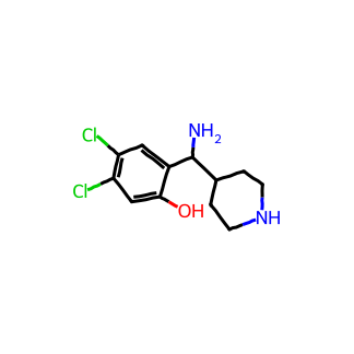 NC(c1cc(Cl)c(Cl)cc1O)C1CCNCC1